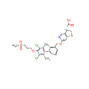 Cc1c(Cl)c(OCCCS(C)(=O)=O)c(Cl)c(C)c1-c1cccc(COc2cc3c(cn2)[C@H](CC(=O)O)CS3)c1